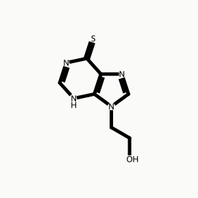 OCCn1cnc2c(=S)nc[nH]c21